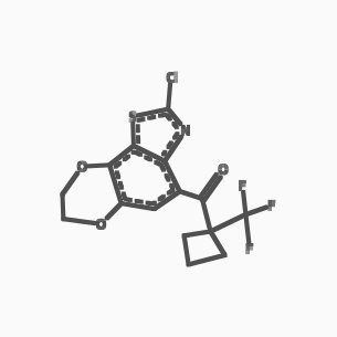 O=C(c1cc2c(c3sc(Cl)nc13)OCCO2)C1(C(F)(F)F)CCC1